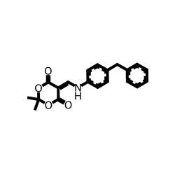 CC1(C)OC(=O)C(=CNc2ccc(Cc3ccccc3)cc2)C(=O)O1